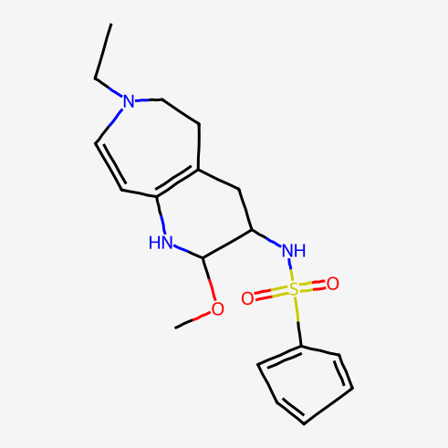 CCN1C=CC2=C(CC1)CC(NS(=O)(=O)c1ccccc1)C(OC)N2